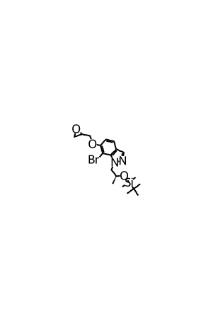 C[C@@H](Cn1ncc2ccc(OCC3CO3)c(Br)c21)O[Si](C)(C)C(C)(C)C